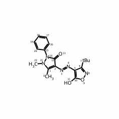 Cc1c(N=Nc2c(C(C)(C)C)noc2O)c(=O)n(-c2ccccc2)n1C